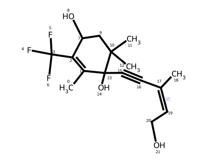 CC1=C(C(F)(F)F)C(O)CC(C)(C)C1(O)C#C/C(C)=C\CO